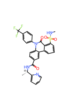 CNS(=O)(=O)c1cccc2c1c(=O)n(-c1ccc(C(F)(F)F)cc1)c1ccc(C(=O)N[C@@H](C)c3ccccn3)cc21